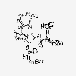 CCCCNC(=O)OCCN(CCOC(=O)NCCCC)C(CN)c1cccc(Cl)c1.Cl.Cl